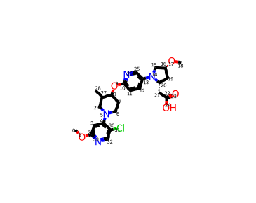 COc1cc(N2CCC(Oc3ccc(N4C[C@H](OC)C[C@@H]4CC(=O)O)cn3)C(C)C2)c(Cl)cn1